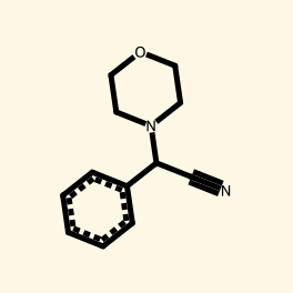 N#C[C](c1ccccc1)N1CCOCC1